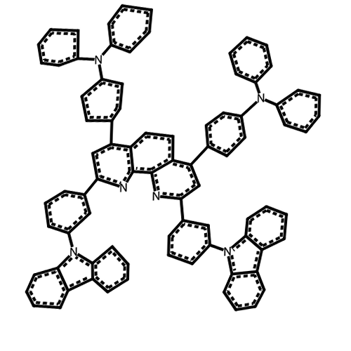 c1ccc(N(c2ccccc2)c2ccc(-c3cc(-c4cccc(-n5c6ccccc6c6ccccc65)c4)nc4c3ccc3c(-c5ccc(N(c6ccccc6)c6ccccc6)cc5)cc(-c5cccc(-n6c7ccccc7c7ccccc76)c5)nc34)cc2)cc1